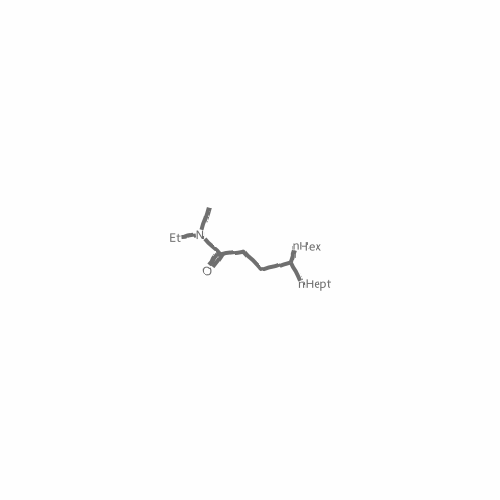 CCCCCCCC(CCCCCC)CCC(=O)N(C)CC